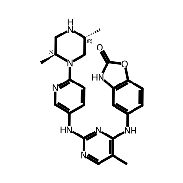 Cc1cnc(Nc2ccc(N3C[C@@H](C)NC[C@@H]3C)nc2)nc1Nc1ccc2oc(=O)[nH]c2c1